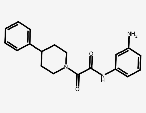 Nc1cccc(NC(=O)C(=O)N2CCC(c3ccccc3)CC2)c1